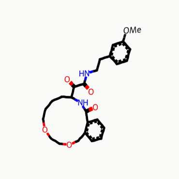 COc1cccc(CCNC(=O)C(=O)C2CCCCOCCOCc3ccccc3C(=O)N2)c1